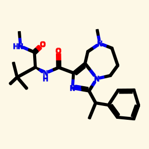 CNC(=O)[C@@H](NC(=O)c1nc(C(C)c2ccccc2)n2c1CN(C)CCC2)C(C)(C)C